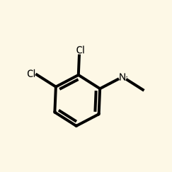 C[N]c1cccc(Cl)c1Cl